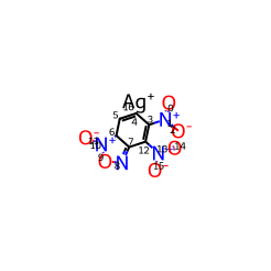 O=[N+]([O-])c1ccc2c(no[n+]2[O-])c1[N+](=O)[O-].[Ag+]